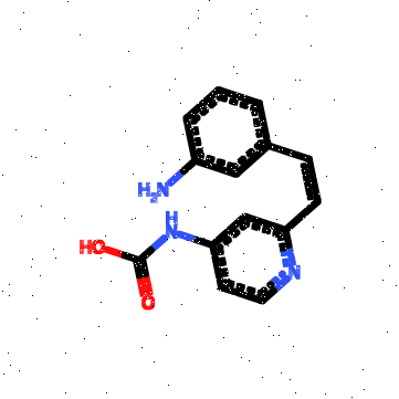 Nc1cccc(/C=C\c2cc(NC(=O)O)ccn2)c1